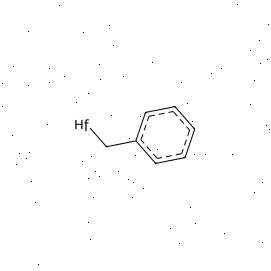 [Hf][CH2]c1ccccc1